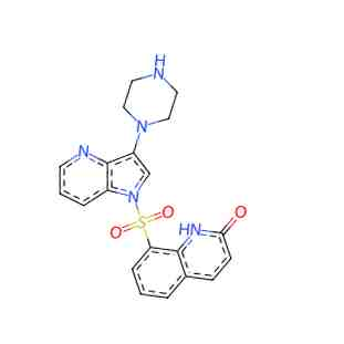 O=c1ccc2cccc(S(=O)(=O)n3cc(N4CCNCC4)c4ncccc43)c2[nH]1